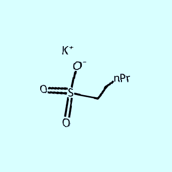 CCCCS(=O)(=O)[O-].[K+]